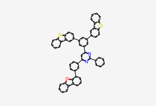 c1ccc(-c2nc(-c3cc(-c4ccc5sc6ccccc6c5c4)cc(-c4ccc5sc6ccccc6c5c4)c3)cc(-c3cccc(-c4cccc5c4oc4ccccc45)c3)n2)cc1